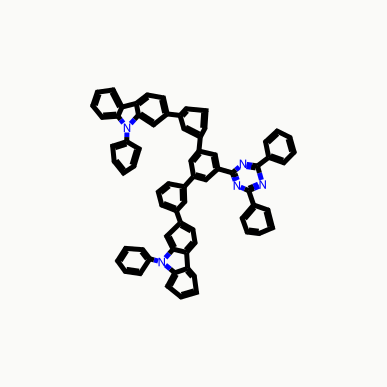 c1ccc(-c2nc(-c3ccccc3)nc(-c3cc(-c4cccc(-c5ccc6c7ccccc7n(-c7ccccc7)c6c5)c4)cc(-c4cccc(-c5ccc6c7ccccc7n(-c7ccccc7)c6c5)c4)c3)n2)cc1